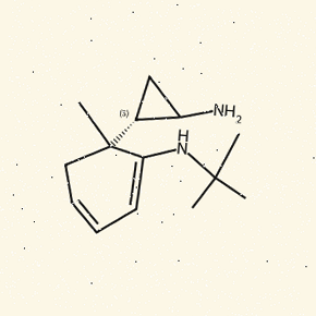 CC(C)(C)NC1=CC=CCC1(C)[C@@H]1CC1N